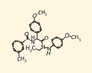 CCN(Nc1ccc(OC)cc1)C(=O)C(NC(=O)c1cccc(C)c1)c1ccc(OC)cc1